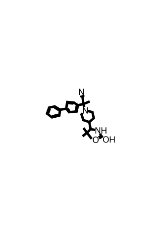 CC(C)(C)C(NC(=O)O)C1CCN(C(C)(C#N)c2ccc(-c3ccccc3)cc2)CC1